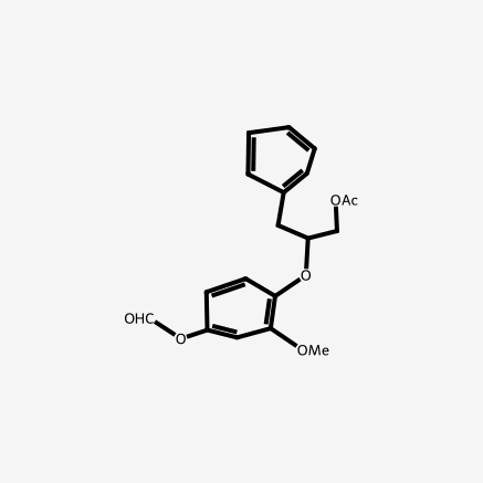 COc1cc(OC=O)ccc1OC(COC(C)=O)Cc1ccccc1